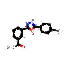 COC(=O)c1cccc(-c2nnc(-c3ccc(C(C)(C)C)cc3)o2)c1